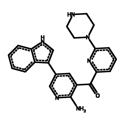 Nc1ncc(-c2c[nH]c3ccccc23)cc1C(=O)c1cccc(N2CCNCC2)n1